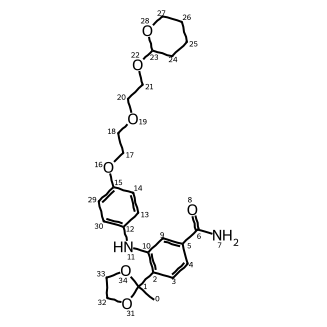 CC1(c2ccc(C(N)=O)cc2Nc2ccc(OCCOCCOC3CCCCO3)cc2)OCCO1